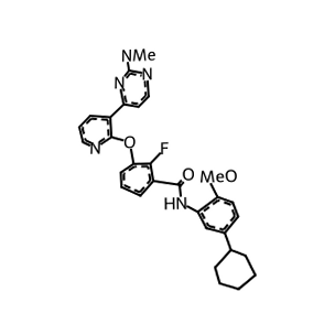 CNc1nccc(-c2cccnc2Oc2cccc(C(=O)Nc3cc(C4CCCCC4)ccc3OC)c2F)n1